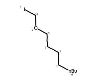 CCCCCCCCOCI